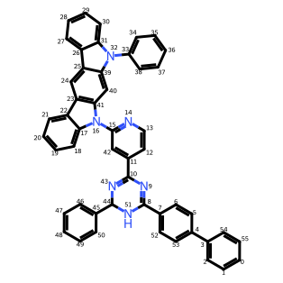 c1ccc(-c2ccc(C3=NC(c4ccnc(-n5c6ccccc6c6cc7c8ccccc8n(-c8ccccc8)c7cc65)c4)=NC(c4ccccc4)N3)cc2)cc1